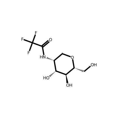 O=C(N[C@@H]1[CH]O[C@H](CO)[C@@H](O)[C@@H]1O)C(F)(F)F